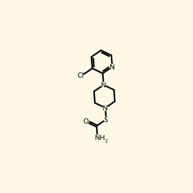 NC(=O)SN1CCN(c2ncccc2Cl)CC1